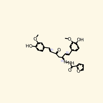 COc1cc(/C=C/C(=O)CC(/C=C/c2ccc(O)c(OC)c2)=N/NC(=O)c2ccco2)ccc1O